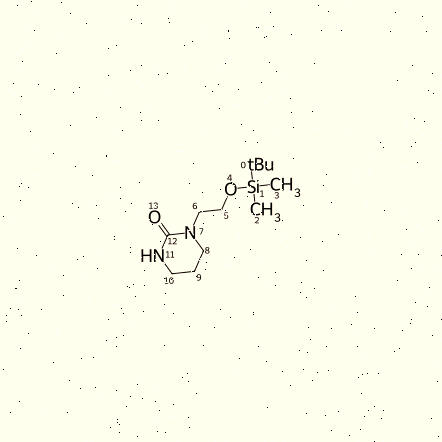 CC(C)(C)[Si](C)(C)OCCN1CCCNC1=O